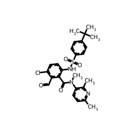 Cc1ccc(N(C)C(=O)c2c(NS(=O)(=O)c3ccc(C(C)(C)C)cc3)ccc(Cl)c2C=O)c(C)n1